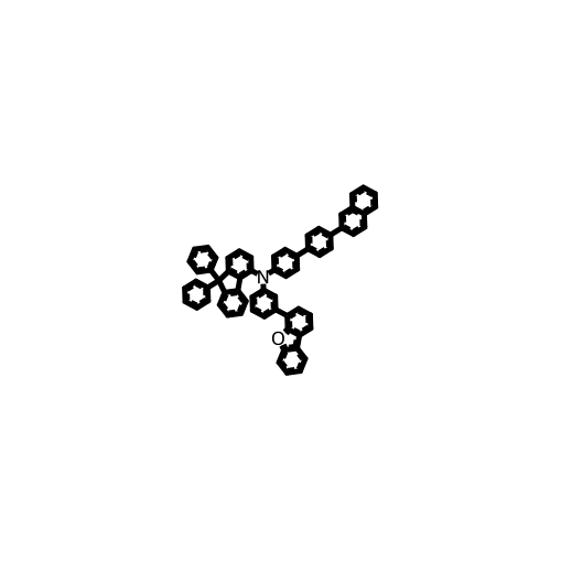 c1ccc(C2(c3ccccc3)c3ccccc3-c3c(N(c4ccc(-c5ccc(-c6ccc7ccccc7c6)cc5)cc4)c4cccc(-c5cccc6c5oc5ccccc56)c4)cccc32)cc1